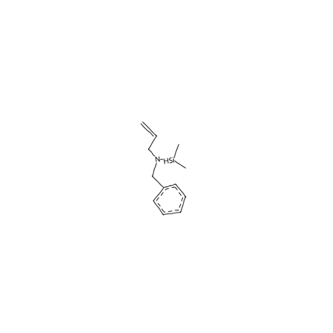 C=CCN(Cc1ccccc1)[SiH](C)C